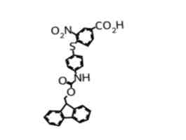 O=C(Nc1ccc(Sc2ccc(C(=O)O)cc2[N+](=O)[O-])cc1)OCC1c2ccccc2-c2ccccc21